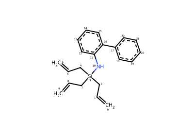 C=CC[Si](CC=C)(CC=C)Nc1ccccc1-c1ccccc1